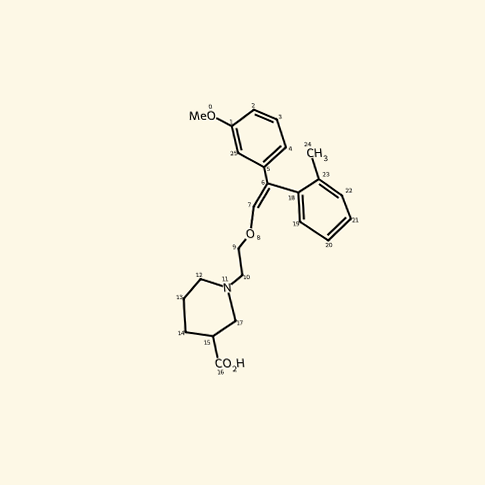 COc1cccc(C(=COCCN2CCCC(C(=O)O)C2)c2ccccc2C)c1